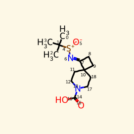 CC(C)(C)[S@+]([O-])/N=C1\CCC12CCN(C(=O)O)CC2